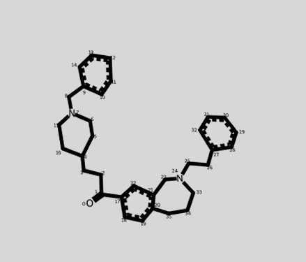 O=C(CCC1CCN(Cc2ccccc2)CC1)c1ccc2c(c1)CN(CCc1ccccc1)CCC2